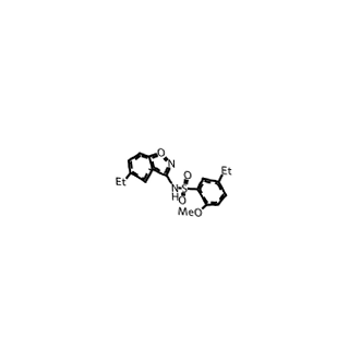 CCc1ccc(OC)c(S(=O)(=O)Nc2noc3ccc(CC)cc23)c1